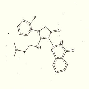 CN(C)CCNC1=C(c2nc3ccccc3c(=O)[nH]2)C(=O)CN1c1ccccc1F